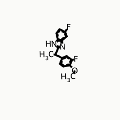 COc1ccc(C(C)c2nc3cc(F)ccc3[nH]2)cc1F